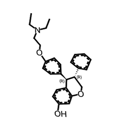 CCN(CC)CCOc1ccc([C@@H]2c3ccc(O)cc3OC[C@H]2c2ccccc2)cc1